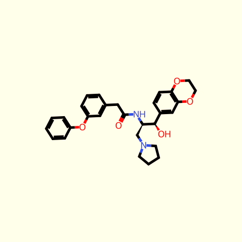 O=C(Cc1cccc(Oc2ccccc2)c1)N[C@H](CN1CCCC1)[C@H](O)c1ccc2c(c1)OCCO2